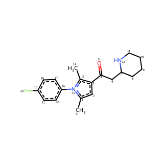 Cc1cc(C(=O)CC2CCCCN2)c(C)n1-c1ccc(F)cc1